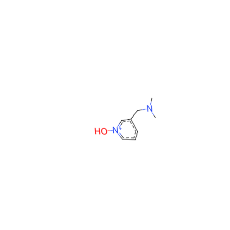 CN(C)Cc1ccc[n+](O)c1